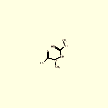 CNC(=N)N[C@@H](C)C(=O)O